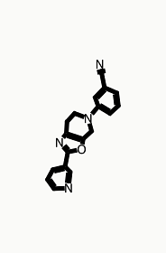 N#Cc1cccc(N2CCc3nc(-c4cccnc4)oc3C2)c1